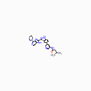 CC(C)CC(=O)Nc1cncc(-c2ccc3[nH]nc(-c4nc5c(N6CCCCC6)nccc5[nH]4)c3c2)c1